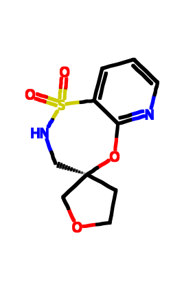 O=S1(=O)NC[C@@]2(CCOC2)Oc2ncccc21